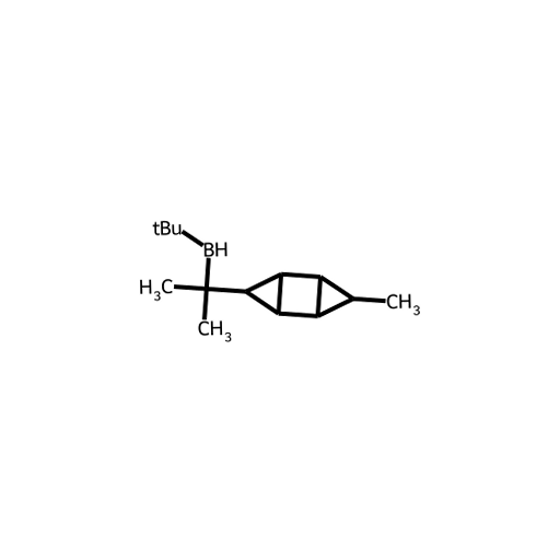 CC1C2C1C1C2C1C(C)(C)BC(C)(C)C